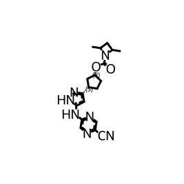 CC1CC(C)N1C(=O)O[C@@H]1CC[C@H](c2cc(Nc3cnc(C#N)cn3)[nH]n2)C1